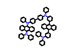 c1ccc(N(c2ccccc2)c2cccc(-c3c4ccccc4c(-c4cccc(N(c5ccccc5)c5ccc(-c6ccc(N(c7ccccc7)c7c8ccccc8c(N(c8ccccc8)c8ccccc8)c8ccccc78)cc6)cc5)c4)c4ccccc34)c2)cc1